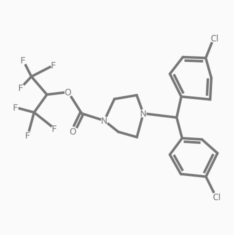 O=C(OC(C(F)(F)F)C(F)(F)F)N1CCN(C(c2ccc(Cl)cc2)c2ccc(Cl)cc2)CC1